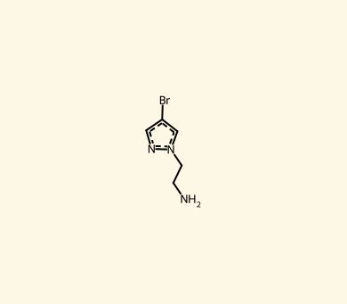 NCCn1cc(Br)cn1